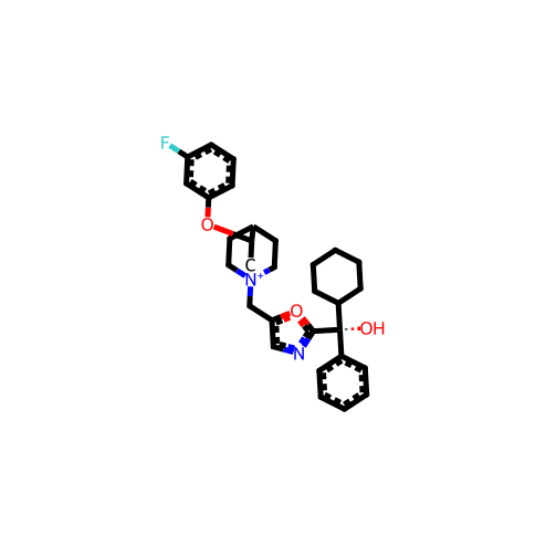 O[C@](c1ccccc1)(c1ncc(C[N+]23CCC(CC2)C(Oc2cccc(F)c2)C3)o1)C1CCCCC1